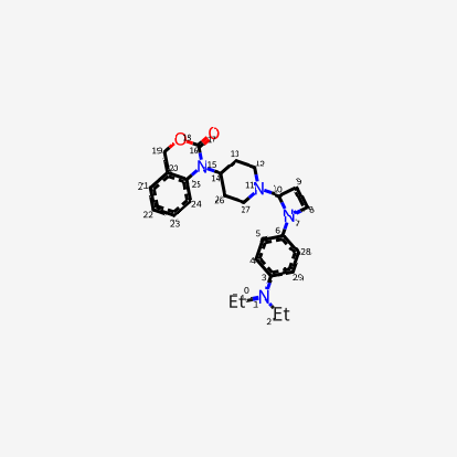 CCN(CC)c1ccc(N2C=CC2N2CCC(N3C(=O)OCc4ccccc43)CC2)cc1